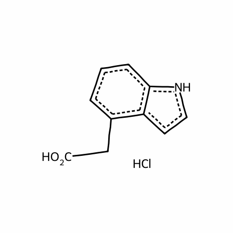 Cl.O=C(O)Cc1cccc2[nH]ccc12